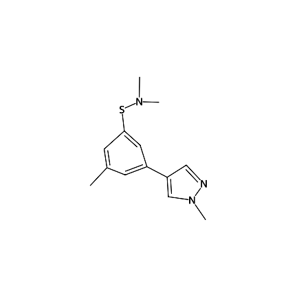 Cc1cc(SN(C)C)cc(-c2cnn(C)c2)c1